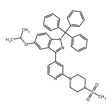 CC(C)Oc1ccc2c(c1)c(-c1ccnc(N3CCN(S(C)(=O)=O)CC3)c1)nn2C(c1ccccc1)(c1ccccc1)c1ccccc1